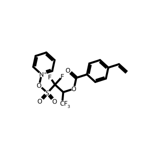 C=Cc1ccc(C(=O)OC(C(F)(F)F)C(F)(F)S(=O)(=O)O[n+]2ccccc2)cc1